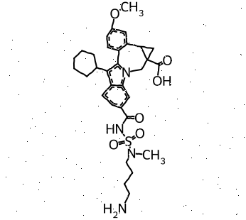 COc1ccc2c(c1)C1CC1(C(=O)O)Cn1c-2c(C2CCCCC2)c2ccc(C(=O)NS(=O)(=O)N(C)CCCCN)cc21